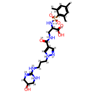 Cc1cc(C)c(S(=O)(=O)NC(CNC(=O)c2cnn(CCCNC3=NCC(O)CN3)c2)C(=O)O)c(C)c1